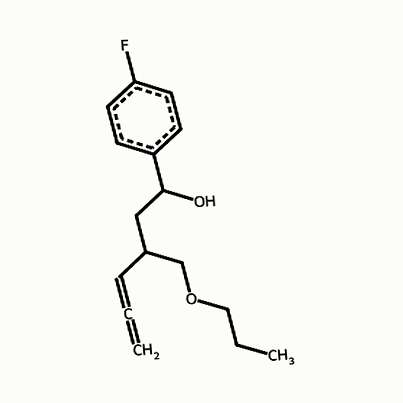 C=C=CC(COCCC)CC(O)c1ccc(F)cc1